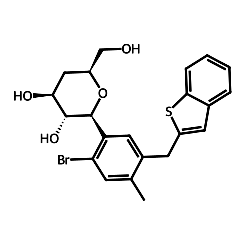 Cc1cc(Br)c([C@@H]2O[C@H](CO)C[C@H](O)[C@H]2O)cc1Cc1cc2ccccc2s1